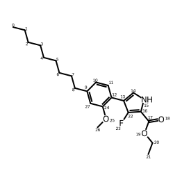 CCCCCCCCCc1ccc(-c2c[nH]c(C(=O)OCC)c2F)c(OC)c1